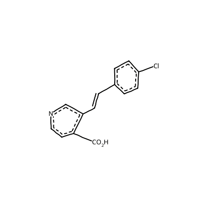 O=C(O)c1ccncc1/C=C/c1ccc(Cl)cc1